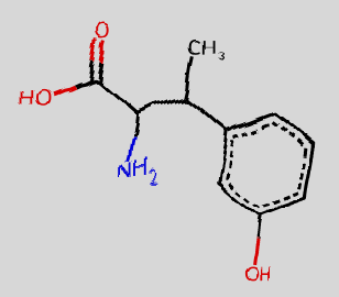 CC(c1cccc(O)c1)C(N)C(=O)O